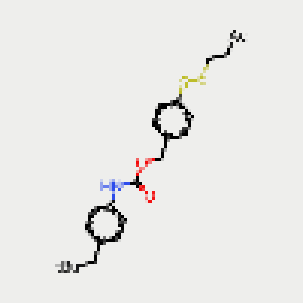 CC(=O)CCSSc1ccc(COC(=O)Nc2ccc(CC(C)(C)C)cc2)cc1